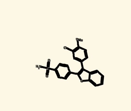 COc1ccc(-c2c(-c3ccc(S(N)(=O)=O)cc3)oc3ccccc23)cc1Cl